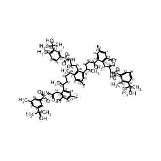 Cc1cc(C(C)(C)O)cc(S(=O)(=O)NC(=O)Cc2c(C(C)C)cc(F)cc2C(C)CCC(C)c2cc(F)cc(C(C)CCC(C)c3cc(F)cc(C(C)C)c3CC(=O)NS(=O)(=O)c3cccc(C(C)(C)O)c3C)c2CC(=O)NS(=O)(=O)c2ccc(C)c(C(C)(C)O)c2)c1